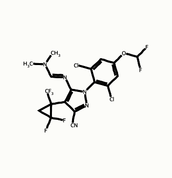 CN(C)C=Nc1c(C2(C(F)(F)F)CC2(F)F)c(C#N)nn1-c1c(Cl)cc(OC(F)F)cc1Cl